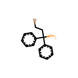 PC(CCBr)(c1ccccc1)c1ccccc1